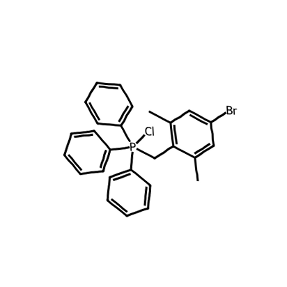 Cc1cc(Br)cc(C)c1CP(Cl)(c1ccccc1)(c1ccccc1)c1ccccc1